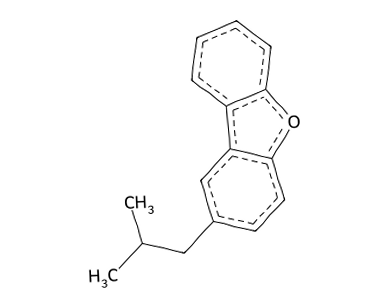 CC(C)Cc1ccc2oc3ccccc3c2c1